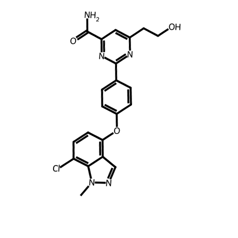 Cn1ncc2c(Oc3ccc(-c4nc(CCO)cc(C(N)=O)n4)cc3)ccc(Cl)c21